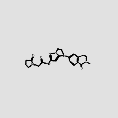 CN1CCc2cc(N3CCn4nc(NC(=O)CN5CCCC5=O)cc43)ccc2C1=O